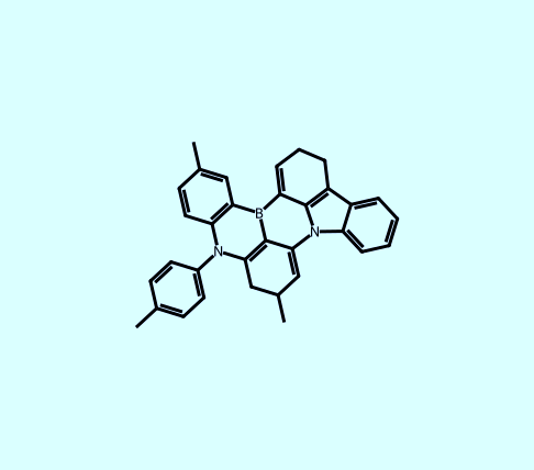 Cc1ccc(N2C3=C4B(C5=CCCc6c5n(c5ccccc65)C4=CC(C)C3)c3cc(C)ccc32)cc1